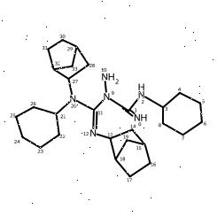 N=C(NC1CCCCC1)N(N)C(=NC1CC2CCC1C2)N(C1CCCCC1)C1CC2CCC1C2